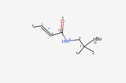 C/C=C/C(=O)NCC(C)(C)CCCC